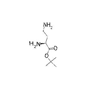 CC(C)(C)OC(=O)[C@@H](N)CCN